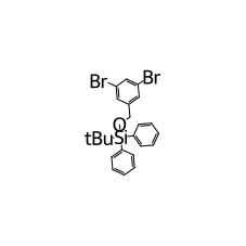 CC(C)(C)[Si](OCc1cc(Br)cc(Br)c1)(c1ccccc1)c1ccccc1